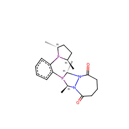 C[C@@H]1CC[C@@H](C)P1c1ccccc1P1[C@H](C)N2C(=O)CCCC(=O)N2[C@H]1C